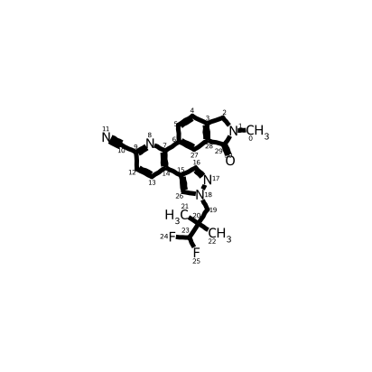 CN1Cc2ccc(-c3nc(C#N)ccc3-c3cnn(CC(C)(C)C(F)F)c3)cc2C1=O